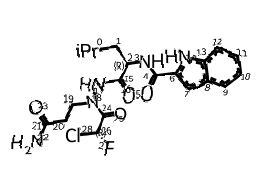 CC(C)C[C@@H](NC(=O)c1cc2ccccc2[nH]1)C(=O)NN(CCC(N)=O)C(=O)[C@H](F)Cl